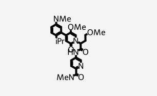 CNC(=O)c1ccc(NC(=O)C(CCOC)n2cc(OC)c(-c3cc(NC)ccc3C(C)C)cc2=O)cn1